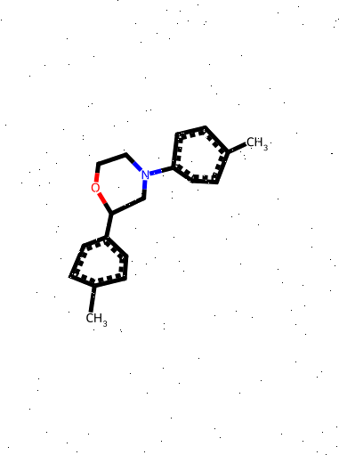 Cc1ccc(C2CN(c3ccc(C)cc3)CCO2)cc1